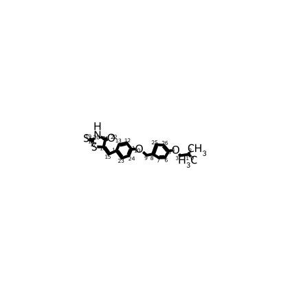 CC(C)COc1ccc(COc2ccc(C=C3SC(=S)NC3=O)cc2)cc1